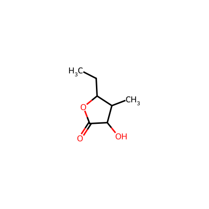 CCC1OC(=O)C(O)C1C